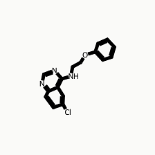 Clc1ccc2ncnc(NCCOc3ccccc3)c2c1